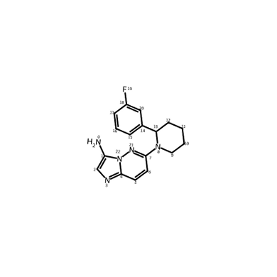 Nc1cnc2ccc(N3CCCCC3c3cccc(F)c3)nn12